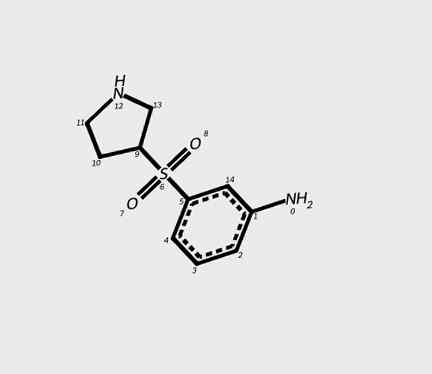 Nc1cccc(S(=O)(=O)C2CCNC2)c1